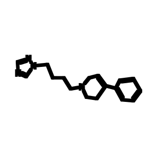 C1=C(c2ccccc2)CCN(CCCCn2cncn2)C1